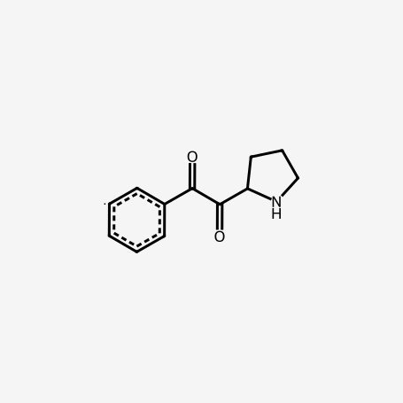 O=C(C(=O)C1CCCN1)c1c[c]ccc1